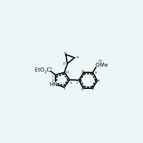 CCOC(=O)c1[nH]cc(-c2cccc(OC)c2)c1C1CC1